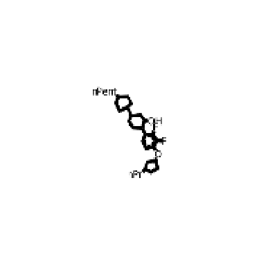 CCCCCC1CCC(C2CCC(c3ccc(OC4CCC(CCC)C4)c(F)c3F)C(O)C2)CC1